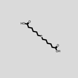 O=C(O)CCCCC[P]CCCCCC(=O)O